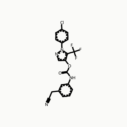 N#CCc1cccc(NC(=O)Oc2cnn(-c3ccc(Cl)cc3)c2C(F)(F)F)c1